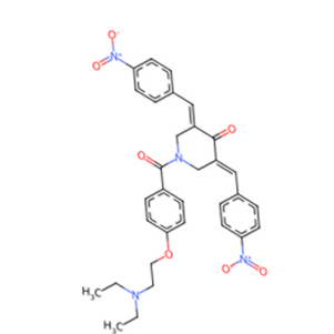 CCN(CC)CCOc1ccc(C(=O)N2CC(=Cc3ccc([N+](=O)[O-])cc3)C(=O)C(=Cc3ccc([N+](=O)[O-])cc3)C2)cc1